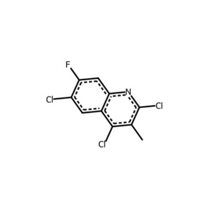 Cc1c(Cl)nc2cc(F)c(Cl)cc2c1Cl